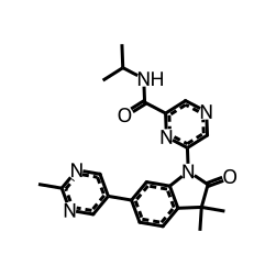 Cc1ncc(-c2ccc3c(c2)N(c2cncc(C(=O)NC(C)C)n2)C(=O)C3(C)C)cn1